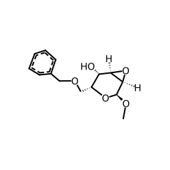 CO[C@H]1O[C@H](COCc2ccccc2)[C@H](O)[C@H]2O[C@@H]12